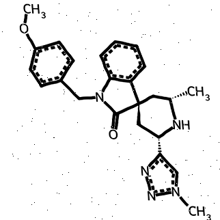 COc1ccc(CN2C(=O)[C@]3(C[C@@H](c4cn(C)nn4)N[C@@H](C)C3)c3ccccc32)cc1